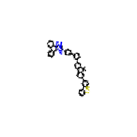 CC1(C)c2cc(-c3cccc(-c4ccc(-c5cnc6c7ccccc7c7ccccc7c6n5)cc4)c3)ccc2-c2ccc(-c3ccc4sc5ccccc5c4c3)cc21